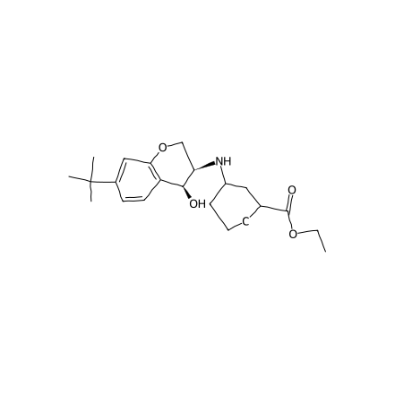 CCOC(=O)C1CCCC(N[C@@H]2COc3cc(C(C)(C)C)ccc3[C@@H]2O)C1